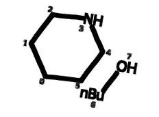 C1CCNCC1.CCCCO